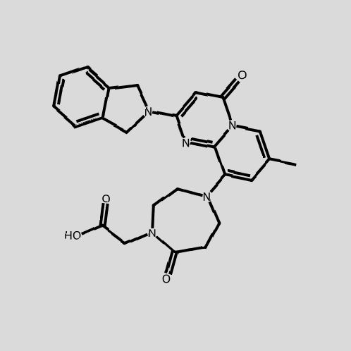 Cc1cc(N2CCC(=O)N(CC(=O)O)CC2)c2nc(N3Cc4ccccc4C3)cc(=O)n2c1